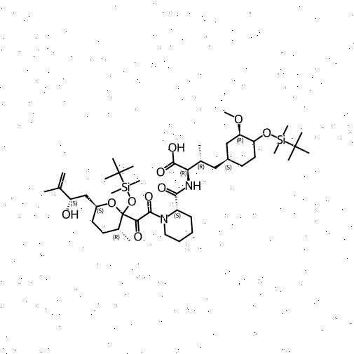 C=C(C)[C@@H](O)C[C@@H]1CC[C@@H](C)C(O[Si](C)(C)C(C)(C)C)(C(=O)C(=O)N2CCCC[C@H]2C(=O)N[C@@H](C(=O)O)[C@H](C)C[C@@H]2CCC(O[Si](C)(C)C(C)(C)C)[C@H](OC)C2)O1